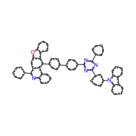 c1ccc(-c2nc(-c3ccc(-c4ccc(-c5c6c(cc7c(-c8ccccc8)nc8ccccc8c57)oc5ccccc56)cc4)cc3)nc(-c3cccc(-n4c5ccccc5c5ccccc54)c3)n2)cc1